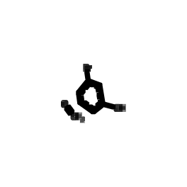 C=O.Oc1cccc(Br)c1